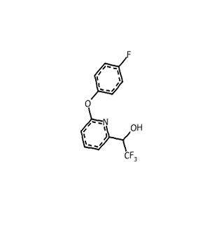 OC(c1cccc(Oc2ccc(F)cc2)n1)C(F)(F)F